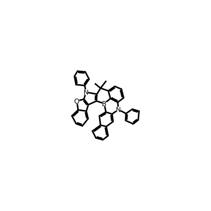 CC1(C)c2cccc3c2B(c2cc4ccccc4cc2N3c2ccccc2)c2c1n(-c1ccccc1)c1oc3ccccc3c21